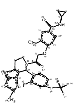 Cc1nn2c3c(nc2s1)CCN(C(=O)COc1ccc(C(=O)NC2CC2)nc1Cl)C3c1ccc(OC(F)(F)F)cc1F